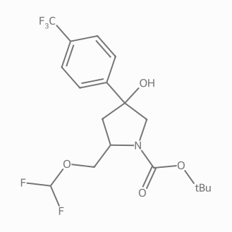 CC(C)(C)OC(=O)N1CC(O)(c2ccc(C(F)(F)F)cc2)CC1COC(F)F